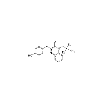 CCC(N)(CC)Cn1c(=O)c(Cc2ccc(O)cc2)nc2ccccc21